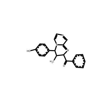 CC1C(C(=O)c2ccccc2)N=C2C=NC=CN2C1c1ccc(O)cc1